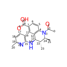 CC(=O)N1c2ccc(C(=O)O)cc2[C@H](Nc2cccc(C)n2)[C@@H](C)[C@@H]1C